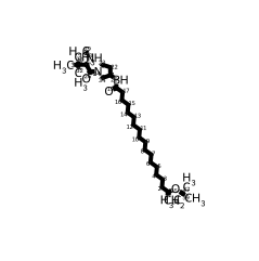 C=C(CCCCCCCCCCCCCCCCC(=O)BC1CCN(C(=O)C(NC)C(C)(C)C)C1)OC(C)(C)C